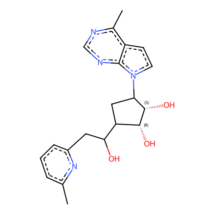 Cc1cccc(CC(O)C2CC(n3ccc4c(C)ncnc43)[C@H](O)[C@@H]2O)n1